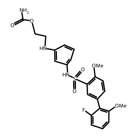 COc1ccc(-c2c(F)cccc2OC)cc1S(=O)(=O)Nc1cccc(NCCOC(N)=O)c1